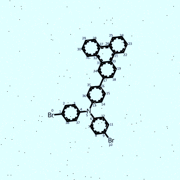 Brc1ccc(N(c2ccc(Br)cc2)c2ccc(-c3ccc4c5ccccc5c5ccccc5c4c3)cc2)cc1